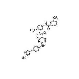 CCn1cc(-c2ccc(Nc3ncc4c(n3)CCN(c3cc(NC(=O)c5cccc(C(F)(F)F)c5)ccc3C)C4=O)cc2)cn1